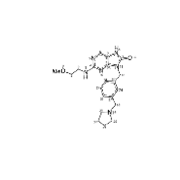 COCCNc1ncc2[nH]c(=O)n(Cc3cccc(CN4CCCC4)c3)c2n1